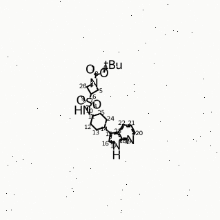 CC(C)(C)OC(=O)N1CC(S(=O)(=O)N[C@H]2CC[C@H](c3c[nH]c4ncccc43)CC2)C1